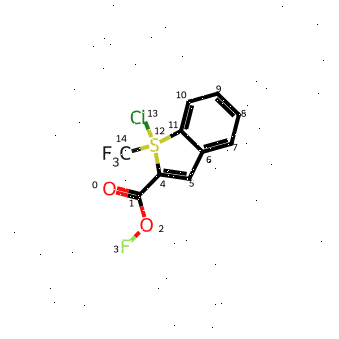 O=C(OF)C1=Cc2ccccc2S1(Cl)C(F)(F)F